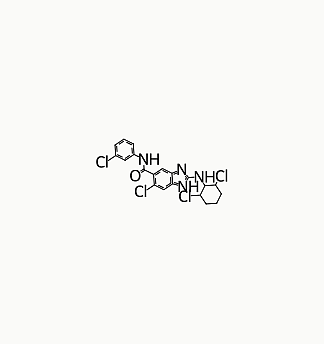 O=C(Nc1cccc(Cl)c1)c1cc2nc(NC3C(Cl)CCCC3Cl)[nH]c2cc1Cl